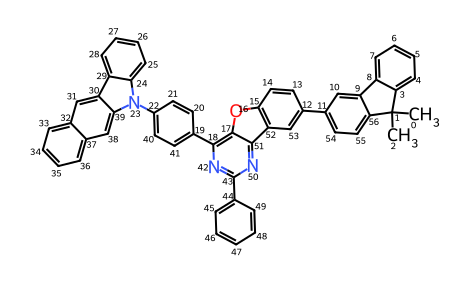 CC1(C)c2ccccc2-c2cc(-c3ccc4oc5c(-c6ccc(-n7c8ccccc8c8cc9ccccc9cc87)cc6)nc(-c6ccccc6)nc5c4c3)ccc21